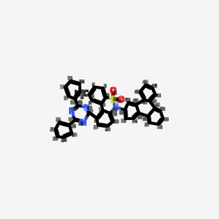 Cc1ccc2c(c1)-c1c(-c3nc(-c4ccccc4)nc(-c4ccccc4)n3)cccc1N(c1ccc3c4ccccc4c4ccccc4c3c1)S2(=O)=O